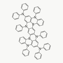 c1ccc(N(c2ccccc2)c2cc3c4c(c2)N(c2ccccc2)c2cc5c(cc2B4c2ccccc2N3c2ccccc2)N(c2ccccc2)c2cc(N(c3ccccc3)c3ccccc3)cc3c2B5c2ccccc2N3c2ccccc2)cc1